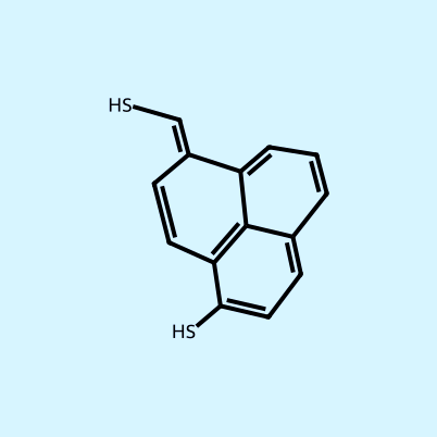 SC=c1ccc2c(S)ccc3cccc1c32